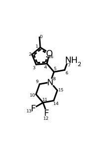 Cc1ccc(C(CN)N2CCC(F)(F)CC2)o1